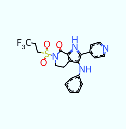 O=C1c2[nH]c(-c3ccncc3)c(Nc3ccccc3)c2CCN1S(=O)(=O)CCC(F)(F)F